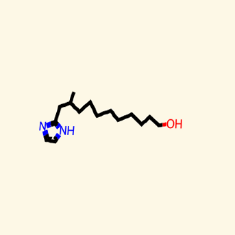 CC(CCCCCCCCCO)Cc1ncc[nH]1